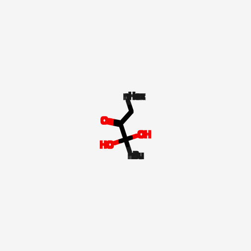 CCCCCCCC(=O)C(O)(O)CCCC